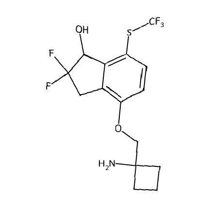 NC1(COc2ccc(SC(F)(F)F)c3c2CC(F)(F)C3O)CCC1